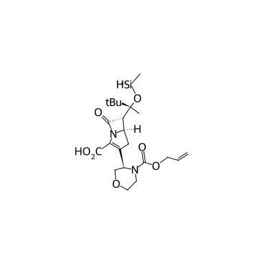 C=CCOC(=O)N1CCOC[C@H]1C1=C(C(=O)O)N2C(=O)[C@H]([C@@](C)(O[SiH](C)C)C(C)(C)C)[C@H]2C1